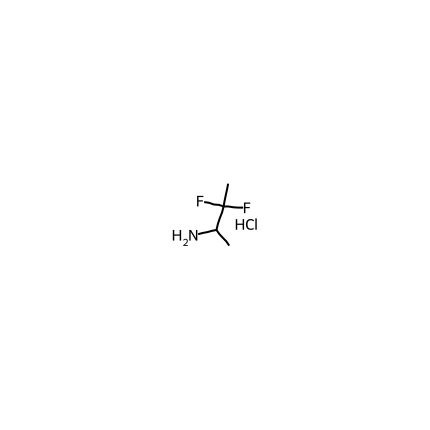 CC(N)C(C)(F)F.Cl